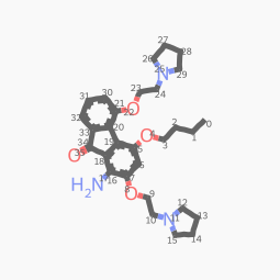 CCCCOc1cc(OCCN2CCCC2)c(N)c2c1-c1c(OCCN3CCCC3)cccc1C2=O